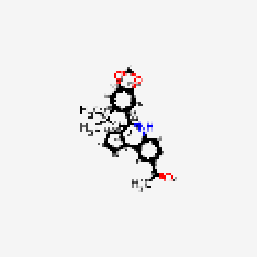 CC(=O)c1ccc2c(c1)C1C=CCC1C(c1cc3c(cc1[Si](C)(C)C)OCO3)N2